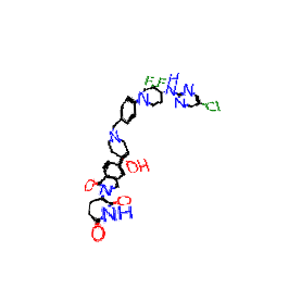 O=C1CCC(N2Cc3cc(C4(O)CCN(Cc5ccc(N6CC[C@@H](Nc7ncc(Cl)cn7)C(F)(F)C6)cc5)CC4)ccc3C2=O)C(=O)N1